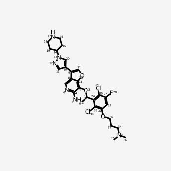 CC(Oc1c(N)ncc2c(-c3cnn(C4CCNCC4)c3)coc12)c1c(Cl)c(F)cc(OCCCN(C)C)c1Cl